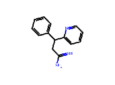 N=C(N)CC(c1ccccc1)c1ccccn1